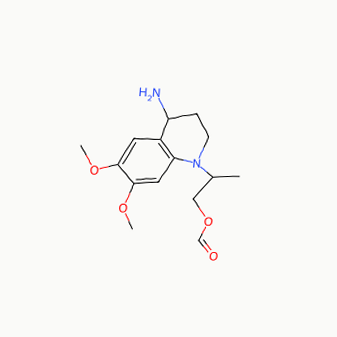 COc1cc2c(cc1OC)N(C(C)COC=O)CCC2N